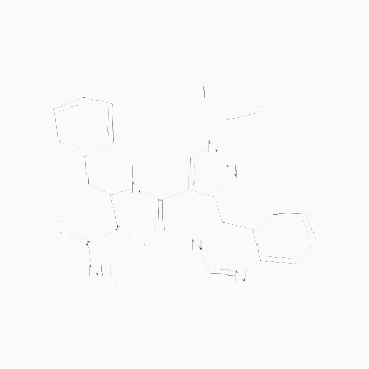 NC(=O)C(=O)C(Cc1ccccc1)NC(=O)c1cn(C(F)F)nc1-c1ncnc2ccccc12